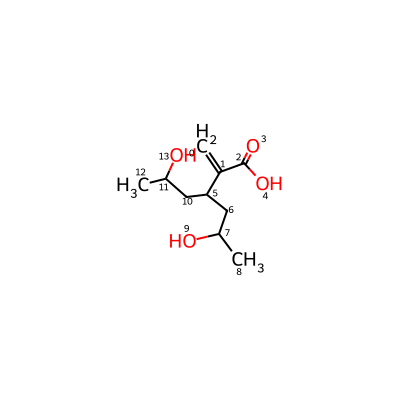 C=C(C(=O)O)C(CC(C)O)CC(C)O